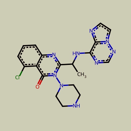 CC(Nc1ncnn2ccnc12)c1nc2cccc(Cl)c2c(=O)n1N1CCNCC1